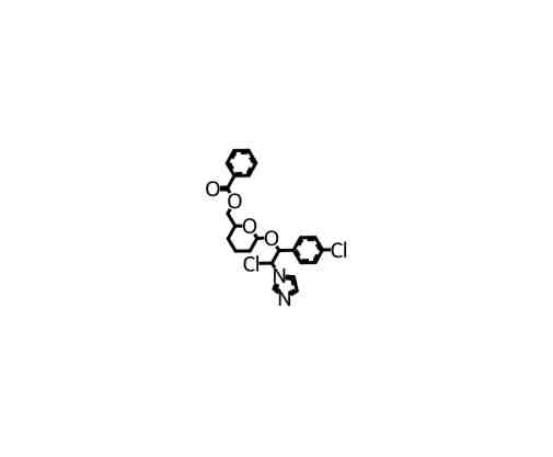 O=C(OCC1CCCC(OC(c2ccc(Cl)cc2)C(Cl)n2ccnc2)O1)c1ccccc1